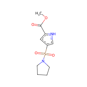 COC(=O)c1cc(S(=O)(=O)N2CCCC2)c[nH]1